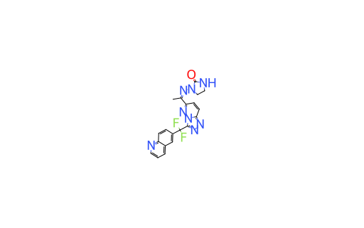 C/C(=N/N1CCNC1=O)c1ccc2nnc(C(F)(F)c3ccc4ncccc4c3)n2n1